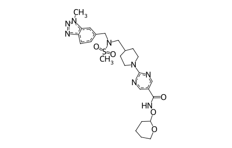 Cn1nnc2ccc(CN(CC3CCN(c4ncc(C(=O)NOC5CCCCO5)cn4)CC3)S(C)(=O)=O)cc21